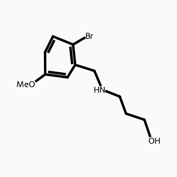 COc1ccc(Br)c(CNCCCO)c1